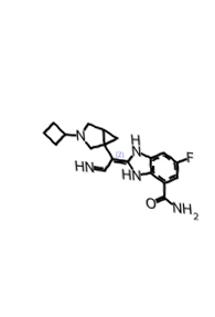 N=C/C(=C1/Nc2cc(F)cc(C(N)=O)c2N1)C12CC1CN(C1CCC1)C2